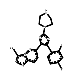 CC(C)c1nnc2ccc(-c3sc(N4CCNCC4)nc3-c3ccc(F)cc3F)nn12